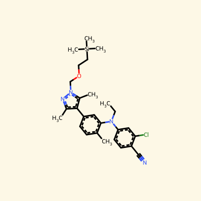 CCN(c1ccc(C#N)c(Cl)c1)c1cc(-c2c(C)nn(COCC[Si](C)(C)C)c2C)ccc1C